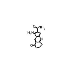 NC(=O)c1sc2nc3c(cc2c1N)C(=O)CCC3